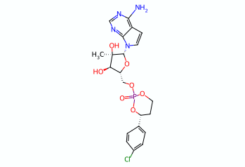 C[C@@]1(O)[C@H](O)[C@@H](COP2(=O)OCC[C@H](c3ccc(Cl)cc3)O2)O[C@H]1n1ccc2c(N)ncnc21